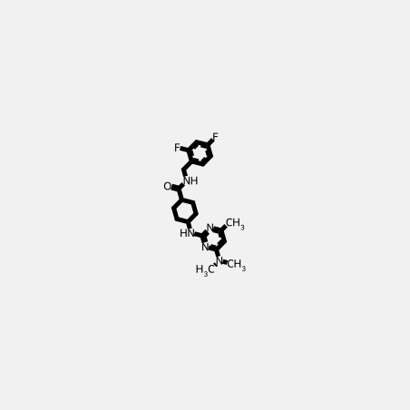 Cc1cc(N(C)C)nc(NC2CCC(C(=O)NCc3ccc(F)cc3F)CC2)n1